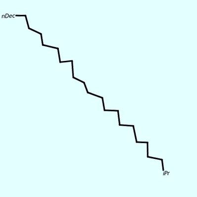 [CH2]CCCCCCCCCCCCCCCCCCCCCCCCCCCCC(C)C